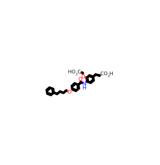 O=C(O)CCc1ccc(NC(=O)c2ccc(OCCCCc3ccccc3)cc2)c(OCC(=O)O)c1